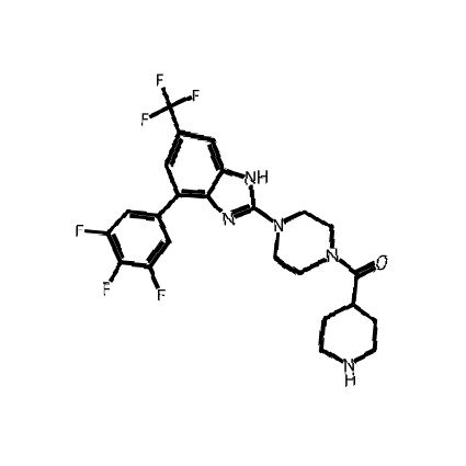 O=C(C1CCNCC1)N1CCN(c2nc3c(-c4cc(F)c(F)c(F)c4)cc(C(F)(F)F)cc3[nH]2)CC1